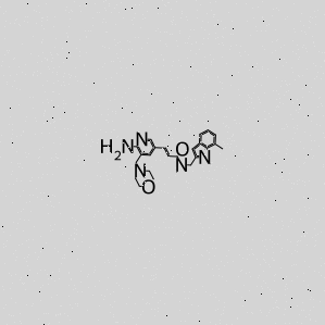 Cc1cccc2cc(CN(C)C(=O)/C=C/c3cnc(N)c(CN4CCOCC4)c3)n(C)c12